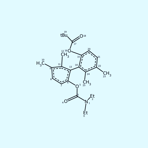 CCN(CC)C(=O)Oc1ccc(C)c(C)c1-c1c(OC(=O)C(C)(C)C)ccc(C)c1C